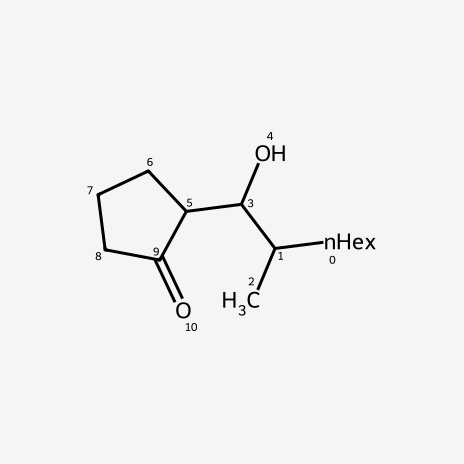 CCCCCCC(C)C(O)C1CCCC1=O